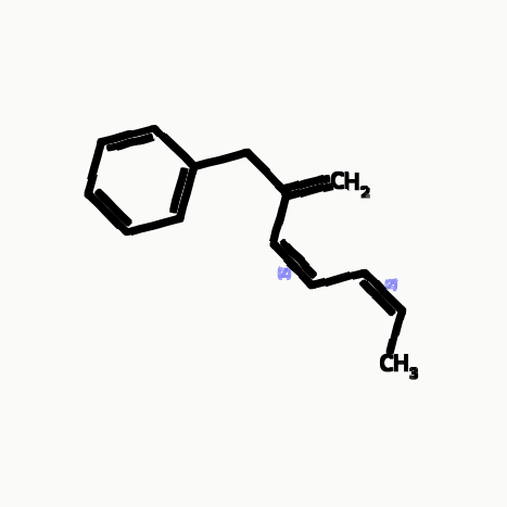 C=C(/C=C\C=C/C)Cc1ccccc1